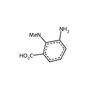 CNc1c(N)cccc1C(=O)O